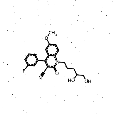 COc1ccc2c(c1)c(-c1cccc(F)c1)c(C#N)c(=O)n2CCCC(O)CO